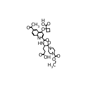 CCOC(=O)N1CCN(C(=O)C(CCC(=O)O)NC(=O)c2cc(OC3(C(=O)O)CCC3)c3cc(C(C)=O)ccc3n2)CC1